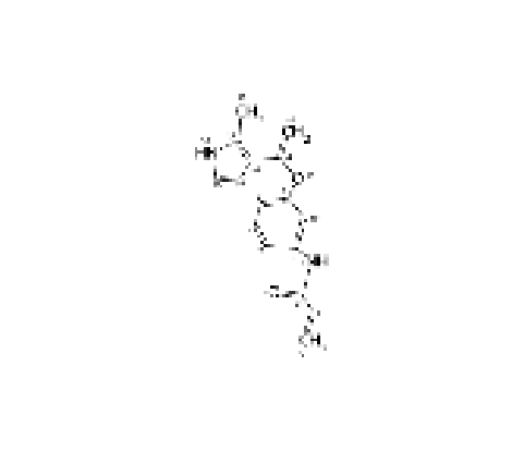 C=CC(=O)Nc1cccc(OC(=C)c2cc[nH]c2C)c1